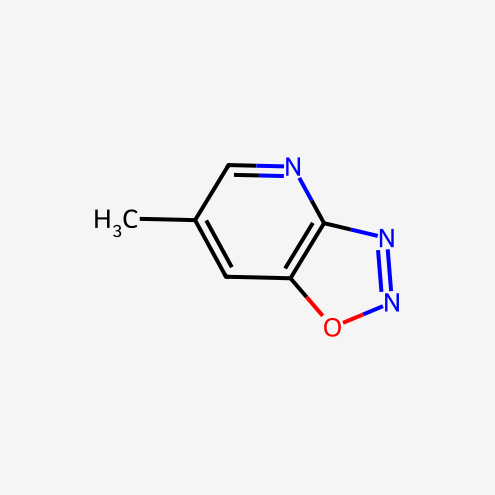 Cc1cnc2nnoc2c1